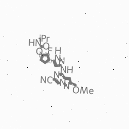 COCc1cc2c(Nc3cc([C@@H]4CC[C@H](OC(=O)NC(C)C)[C@@H]4F)[nH]n3)nc(C#N)cn2n1